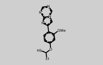 CCC(S)Oc1ccc(-c2cn3cncnc3n2)c(OC)c1